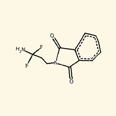 NC(F)(F)CN1C(=O)c2ccccc2C1=O